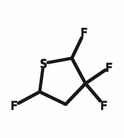 FC1CC(F)(F)C(F)S1